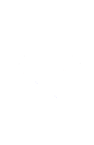 C1=CCNCC1.C1=CCNCC1.O=C(O)C(F)(F)F.O=C(O)C(F)(F)F